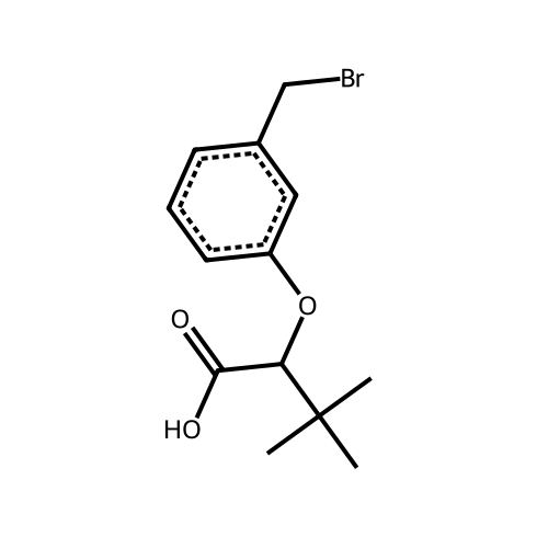 CC(C)(C)C(Oc1cccc(CBr)c1)C(=O)O